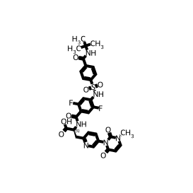 Cn1ccc(=O)n(-c2ccc(C[C@H](NC(=O)c3cc(F)c(NS(=O)(=O)c4ccc(C(=O)NC(C)(C)C)cc4)cc3F)C(=O)O)nc2)c1=O